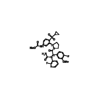 COC(=O)Nc1ccc(S(=O)(=O)C2CC2)c([C@H]2CCCN2C(=O)[C@@H](c2ccc(F)c(OC)c2)N(C(N)=O)c2ccccc2F)c1